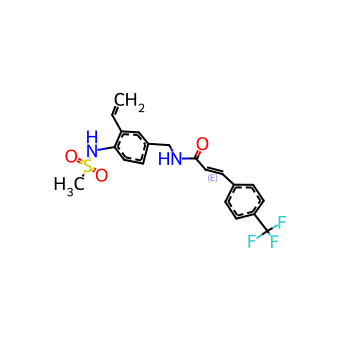 C=Cc1cc(CNC(=O)/C=C/c2ccc(C(F)(F)F)cc2)ccc1NS(C)(=O)=O